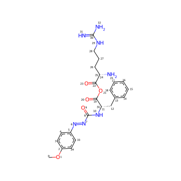 COc1ccc(N=NC(=O)N[C@@H](Cc2ccccc2)C(=O)OC(=O)[C@@H](N)CCCNC(=N)N)cc1